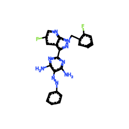 Nc1nc(-c2nn(Cc3cc#ccc3F)c3ncc(F)cc23)nc(N)c1/N=N/c1ccccc1